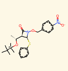 C[C@@H](O[Si](C)(C)C(C)(C)C)[C@H]1C(=O)N(OCc2ccc([N+](=O)[O-])cc2)[C@H]1Sc1ccccc1